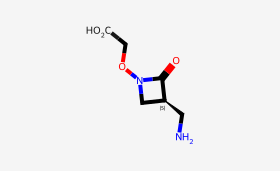 NC[C@H]1CN(OCC(=O)O)C1=O